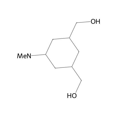 CNC1CC(CO)CC(CO)C1